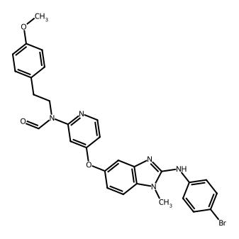 COc1ccc(CCN(C=O)c2cc(Oc3ccc4c(c3)nc(Nc3ccc(Br)cc3)n4C)ccn2)cc1